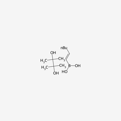 CC(C)(O)C(C)(C)O.CCCCC=CB(O)O